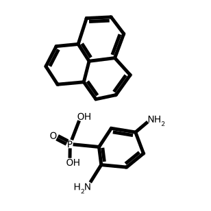 C1=Cc2cccc3cccc(c23)C1.Nc1ccc(N)c(P(=O)(O)O)c1